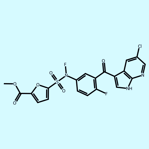 COC(=O)c1ccc(S(=O)(=O)N(F)c2ccc(F)c(C(=O)c3c[nH]c4ncc(Cl)cc34)c2)o1